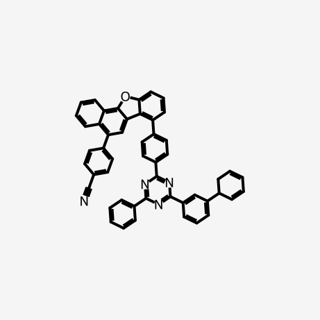 N#Cc1ccc(-c2cc3c(oc4cccc(-c5ccc(-c6nc(-c7ccccc7)nc(-c7cccc(C8C=CC=CC8)c7)n6)cc5)c43)c3ccccc23)cc1